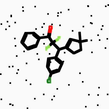 CC1(C)C=C(C(c2ccc(Cl)cc2)C(F)(F)C(=O)c2ccccc2)CC1